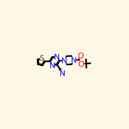 CC(C)(C)OC(=O)N1CCN(c2ncc(-c3cccs3)nc2C#N)CC1